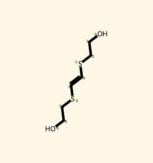 OCCSC=CSCCO